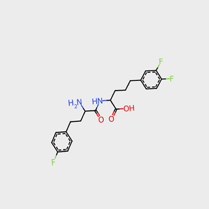 NC(CCc1ccc(F)cc1)C(=O)NC(CCCc1ccc(F)c(F)c1)C(=O)O